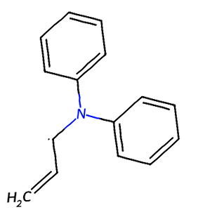 C=C[CH]N(c1ccccc1)c1ccccc1